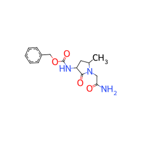 CC1CC(NC(=O)OCc2ccccc2)C(=O)N1CC(N)=O